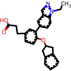 CCn1ncc2cc(-c3cc(CCC(=O)O)ccc3OC3Cc4ccccc4C3)ccc21